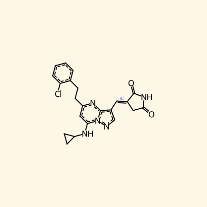 O=C1C/C(=C\c2cnn3c(NC4CC4)cc(CCc4ccccc4Cl)nc23)C(=O)N1